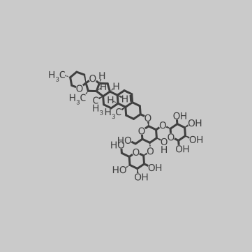 C[C@@H]1CC[C@@]2(OC1)O[C@H]1C[C@H]3[C@@H]4CC=C5CC(O[C@@H]6OC(CO)[C@@H](O[C@@H]7OC(CO)[C@@H](O)[C@H](O)C7O)[C@H](O)C6O[C@@H]6OC(O)[C@H](O)[C@H](O)C6O)CC[C@]5(C)[C@H]4CC[C@]3(C)[C@H]1[C@@H]2C